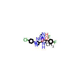 CC(NC(=O)c1cnn(-c2ccc(Cl)cc2)c1N)C(O)(Cn1cncn1)c1ccc(F)cc1F